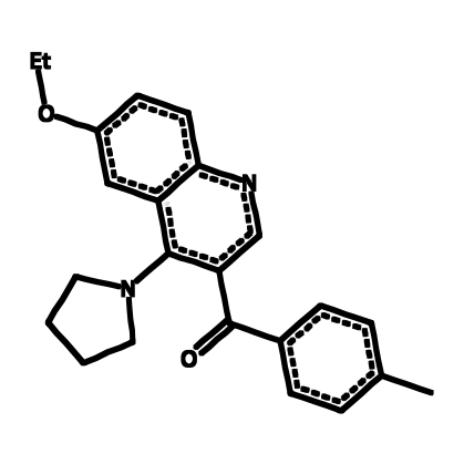 CCOc1ccc2ncc(C(=O)c3ccc(C)cc3)c(N3CCCC3)c2c1